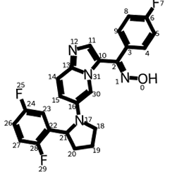 ON=C(c1ccc(F)cc1)c1cnc2ccc(N3CCCC3c3cc(F)ccc3F)cn12